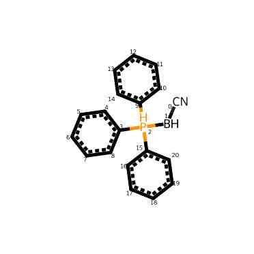 N#CB[PH](c1ccccc1)(c1ccccc1)c1ccccc1